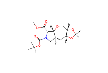 COC(=O)[C@@H]1[C@@H]2OC[C@@H]3OC(C)(C)O[C@@H]3C[C@H]2CN1C(=O)OC(C)(C)C